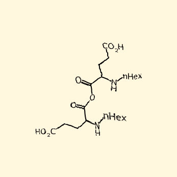 CCCCCCNC(CCC(=O)O)C(=O)OC(=O)C(CCC(=O)O)NCCCCCC